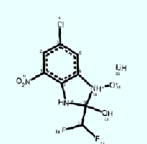 O=[N+]([O-])c1cc(Cl)cc2c1NC(O)(C(F)F)[NH+]2[O-].[LiH]